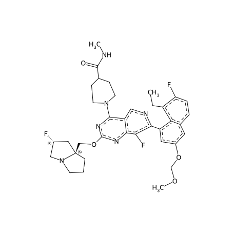 CCc1c(F)ccc2cc(OCOC)cc(-c3ncc4c(N5CCC(C(=O)NC)CC5)nc(OC[C@@]56CCCN5C[C@H](F)C6)nc4c3F)c12